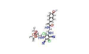 CCO[Si](CCCNc1c(Cl)c(NCCNC(=O)C(C)c2ccc3cc(OC)ccc3c2)c(C#N)c(Cl)c1C#N)(OCC)OCC